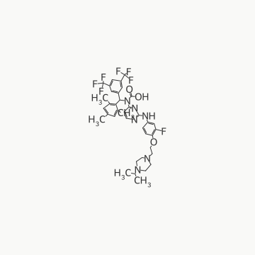 Cc1cc(C)c(C(c2cc(C(F)(F)F)cc(C(F)(F)F)c2)N(C(=O)O)c2ccnc(Nc3ccc(OCCN4CCN(C(C)C)CC4)c(F)c3)n2)c(C)c1